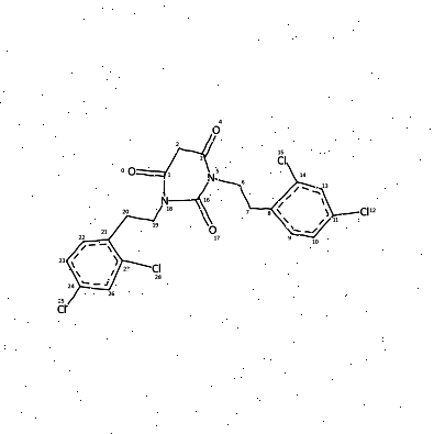 O=C1CC(=O)N(CCc2ccc(Cl)cc2Cl)C(=O)N1CCc1ccc(Cl)cc1Cl